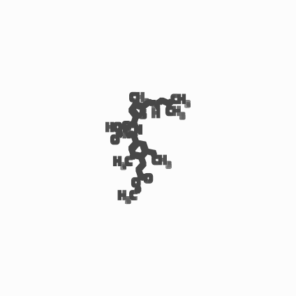 CCOC(=O)CCc1c(C)cc(-c2noc(-c3cc(C)c(CNCC(C)C)s3)n2)cc1CC.O=CO